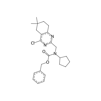 CC1(C)CCc2nc(CN(C(=O)OCc3ccccc3)C3CCCC3)nc(Cl)c2C1